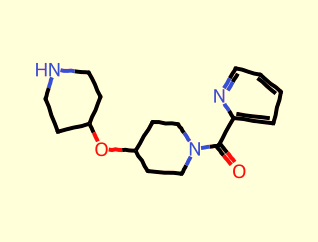 O=C(c1ccccn1)N1CCC(OC2CCNCC2)CC1